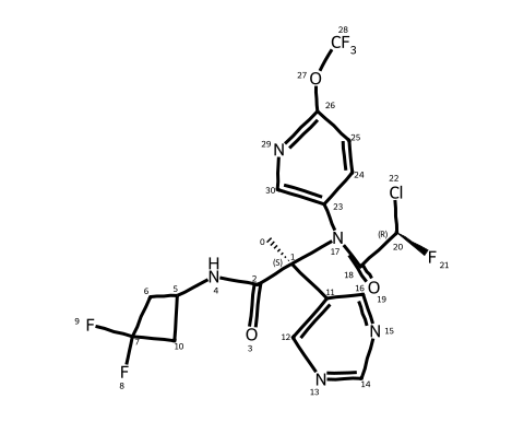 C[C@@](C(=O)NC1CC(F)(F)C1)(c1cncnc1)N(C(=O)[C@H](F)Cl)c1ccc(OC(F)(F)F)nc1